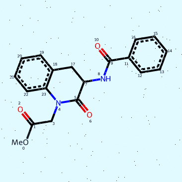 COC(=O)CN1C(=O)C(NC(=O)c2ccccc2)Cc2ccccc21